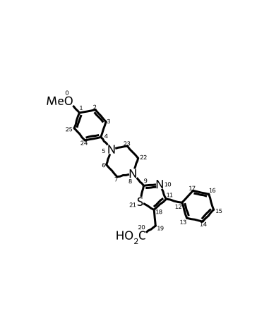 COc1ccc(N2CCN(c3nc(-c4ccccc4)c(CC(=O)O)s3)CC2)cc1